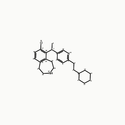 CN(c1ccc(CCC2CCCCC2)nc1)c1c(Cl)ccc2c1CCNCC2